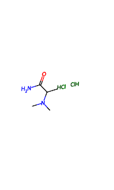 CC(C(N)=O)N(C)C.Cl.Cl